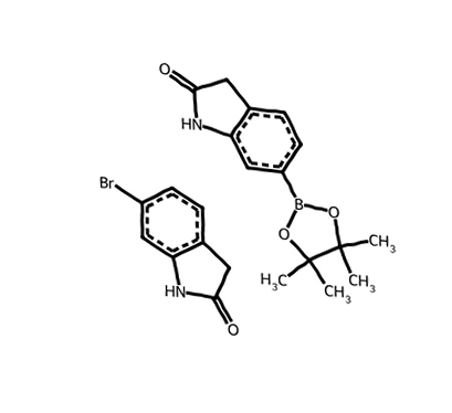 CC1(C)OB(c2ccc3c(c2)NC(=O)C3)OC1(C)C.O=C1Cc2ccc(Br)cc2N1